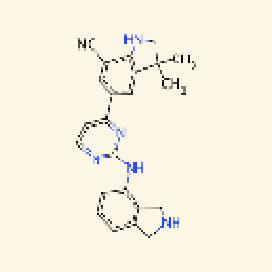 CC1(C)CNc2c(C#N)cc(-c3ccnc(Nc4cccc5c4CNC5)n3)cc21